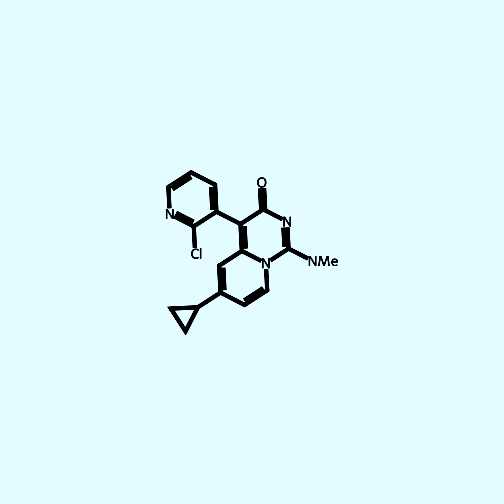 CNc1nc(=O)c(-c2cccnc2Cl)c2cc(C3CC3)ccn12